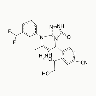 CC1=C(N)[C@@H](c2ccc(C#N)cc2C(O)CO)n2c(n[nH]c2=O)N1c1cccc(C(F)F)c1